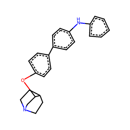 c1ccc(Nc2ccc(-c3ccc(OC4CN5CCC4CC5)cc3)cc2)cc1